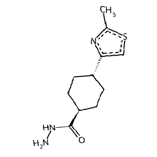 Cc1nc([C@H]2CC[C@H](C(=O)NN)CC2)cs1